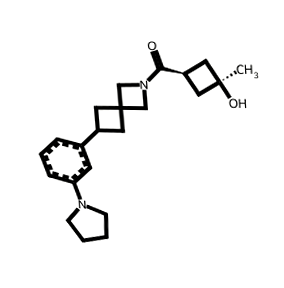 C[C@]1(O)C[C@@H](C(=O)N2CC3(CC(c4cccc(N5CCCC5)c4)C3)C2)C1